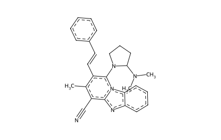 Cc1c(C=Cc2ccccc2)c(N2CCCC2N(C)C)n2c(nc3ccccc32)c1C#N